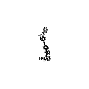 C[C@H](O)c1nccn1Cc1cc(-c2ccc(C#Cc3ccc(NCCn4cncn4)nc3)cc2)on1